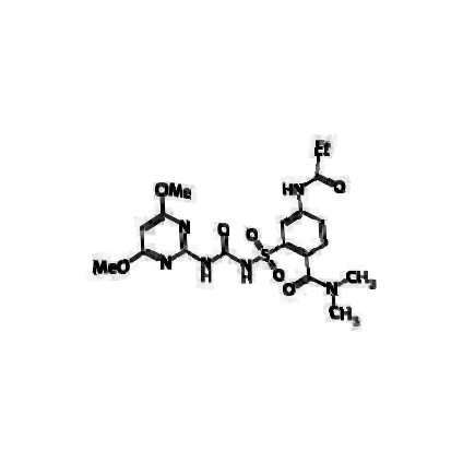 CCC(=O)Nc1ccc(C(=O)N(C)C)c(S(=O)(=O)NC(=O)Nc2nc(OC)cc(OC)n2)c1